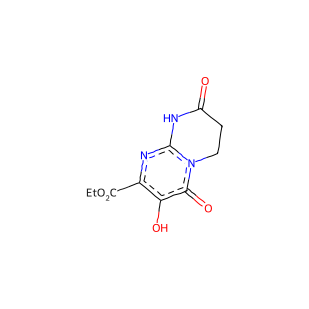 CCOC(=O)c1nc2n(c(=O)c1O)CCC(=O)N2